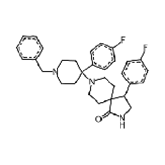 O=C1NCC(c2ccc(F)cc2)C12CCN(C1(c3ccc(F)cc3)CCN(Cc3ccccc3)CC1)CC2